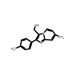 Cc1ccc(-c2nc3cc(C)ccn3c2CO)cc1